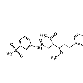 COC(CCc1ccccc1)C(CC(=O)Nc1cccc(S(=O)(=O)O)c1)C(C)=O